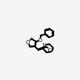 C(=C1CC2CCN1CC2)C1COCC1OCc1ccccc1